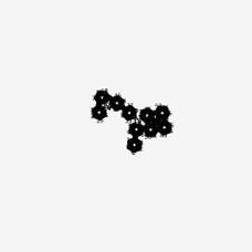 c1ccc(-c2ccc(N(c3ccc(-c4ccc5c6cccc7c8ccccc8n(c5c4)c76)cc3)c3ccc4c(c3)C(c3ccccc3)(c3ccccc3)c3ccccc3-4)cc2)cc1